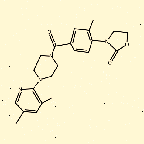 Cc1cnc(N2CCN(C(=O)c3ccc(N4CCOC4=O)c(C)c3)CC2)c(C)c1